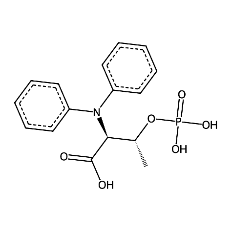 C[C@@H](OP(=O)(O)O)[C@@H](C(=O)O)N(c1ccccc1)c1ccccc1